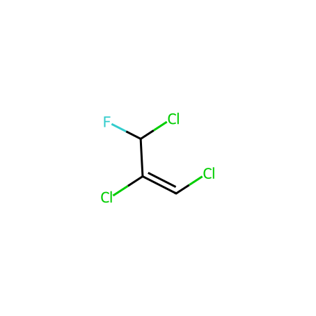 FC(Cl)/C(Cl)=C\Cl